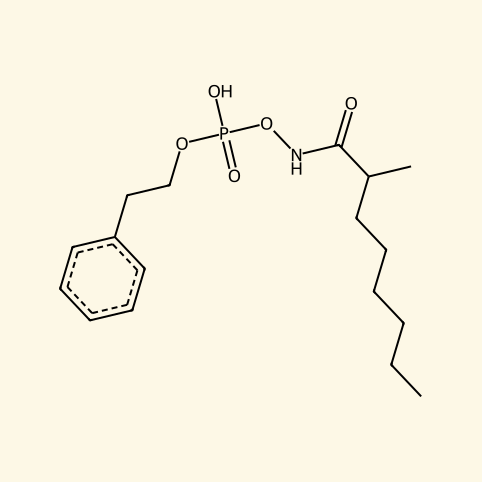 CCCCCCC(C)C(=O)NOP(=O)(O)OCCc1ccccc1